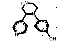 Oc1ccc(N2CCNCC2c2ccncc2)cc1